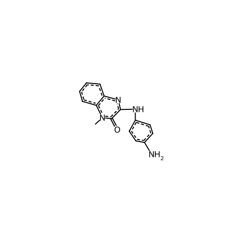 Cn1c(=O)c(Nc2ccc(N)cc2)nc2ccccc21